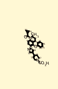 CC1CCc2c(ccc(-n3cc(C4=CCN(C(=O)O)CC4)cn3)c2Oc2ccccc2)N1C(=O)C1CC1